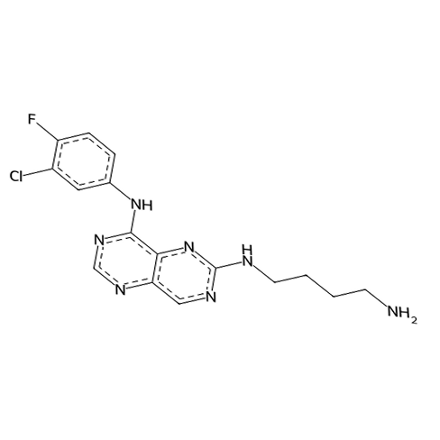 NCCCCNc1ncc2ncnc(Nc3ccc(F)c(Cl)c3)c2n1